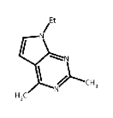 CCn1ccc2c(C)nc(C)nc21